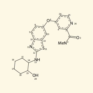 CNC(=O)c1cc(Oc2ccc3nc(NC4CCCCC4O)sc3c2)ccn1